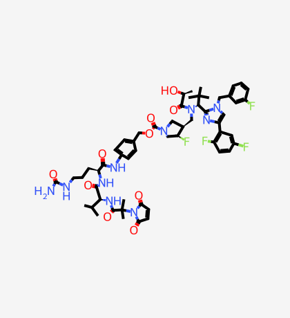 CC(C)[C@H](NC(=O)C(C)(C)N1C(=O)C=CC1=O)C(=O)N[C@@H](CCCNC(N)=O)C(=O)Nc1ccc(COC(=O)N2C[C@@H](CN(C(=O)[C@H](C)O)[C@@H](c3nc(-c4cc(F)ccc4F)cn3Cc3cccc(F)c3)C(C)(C)C)[C@@H](F)C2)cc1